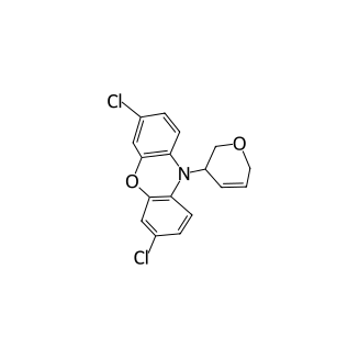 Clc1ccc2c(c1)Oc1cc(Cl)ccc1N2C1C=CCOC1